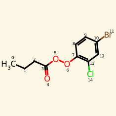 CCCC(=O)OOc1ccc(Br)cc1Cl